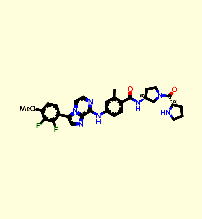 COc1ccc(-c2cnc3c(Nc4ccc(C(=O)N[C@H]5CCN(C(=O)[C@@H]6CCCN6)C5)c(C)c4)nccn23)c(F)c1F